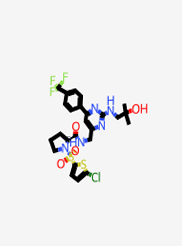 CC(C)(O)CNc1nc(CNC(=O)[C@@H]2CCCN2S(=O)(=O)c2ccc(Cl)s2)cc(-c2ccc(C(F)(F)F)cc2)n1